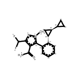 Cn1nc(C(F)F)c(C(N)=O)c1-c1ccccc1[C@@H]1C[C@H]1C1CC1